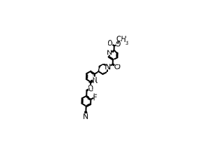 COC(=O)c1ccc(C(=O)N2CCC(c3cccc(OCc4ccc(C#N)cc4F)n3)CC2)cn1